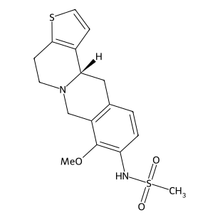 COc1c(NS(C)(=O)=O)ccc2c1CN1CCc3sccc3[C@@H]1C2